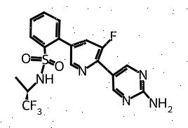 C[C@@H](NS(=O)(=O)c1ccccc1-c1cnc(-c2cnc(N)nc2)c(F)c1)C(F)(F)F